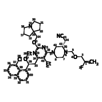 C=C(F)COCN1CCN(c2nc(OCC34CCCN3CCC4)nc(CC(OCC)c3cccc4cccc(Cl)c34)c2CC)C[C@@H]1CC#N